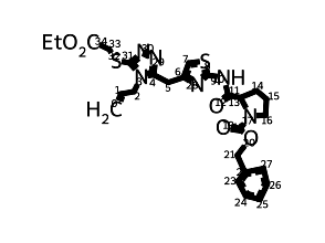 C=CCn1c(Cc2csc(NC(=O)C3CCCN3C(=O)OCc3ccccc3)n2)nnc1SCC(=O)OCC